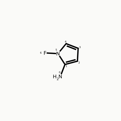 Nc1cccn1F